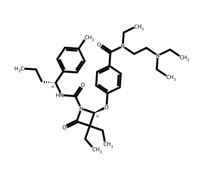 CCC[C@@H](NC(=O)N1C(=O)C(CC)(CC)[C@@H]1Oc1ccc(C(=O)N(CC)CCN(CC)CC)cc1)c1ccc(C)cc1